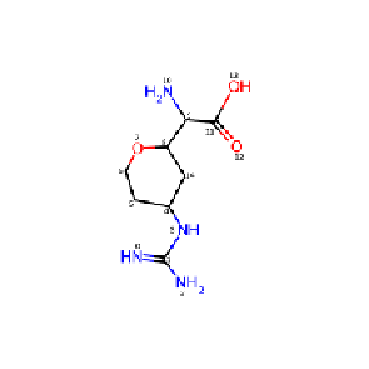 N=C(N)NC1CCOC(C(N)C(=O)O)C1